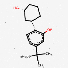 CCCCCCCC(C)(C)c1ccc([C@H]2CCC[C@@H](O)C2)c(O)c1